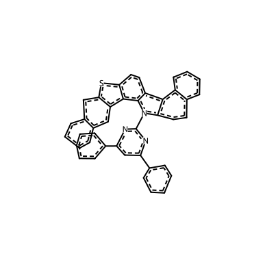 c1ccc(-c2cc(-c3ccccc3)nc(-n3c4ccc5ccccc5c4c4ccc5sc6cc7ccccc7cc6c5c43)n2)cc1